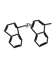 CC(C)c1cccc2ccccc12.Cc1cccc2ccccc12